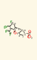 COC(=O)c1ccc(Oc2c(C)cc(F)c(Br)c2C(F)F)cc1